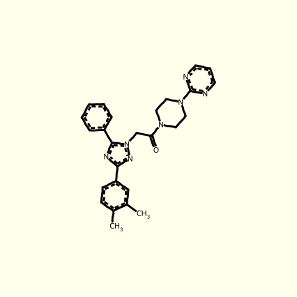 Cc1ccc(-c2nc(-c3ccccc3)n(CC(=O)N3CCN(c4ncccn4)CC3)n2)cc1C